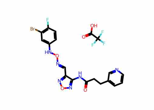 O=C(CCc1cccnc1)Nc1nonc1/C=N/ONc1ccc(F)c(Br)c1.O=C(O)C(F)(F)F